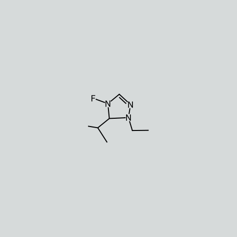 CCN1N=CN(F)C1C(C)C